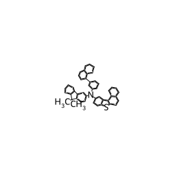 CC1(C)c2ccccc2-c2cc(N(c3cccc(-c4cccc5ccccc45)c3)c3ccc4sc5ccc6ccccc6c5c4c3)ccc21